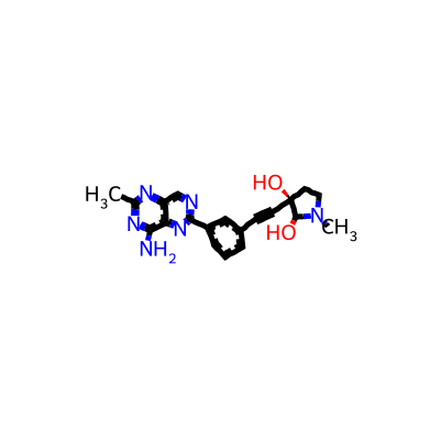 Cc1nc(N)c2nc(-c3cccc(C#C[C@]4(O)CCN(C)C4O)c3)ncc2n1